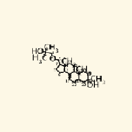 CC(C)(O)COCC1CCC2C3CC=C4C[C@@](C)(O)CCC4(C)C3CC[C@]12C